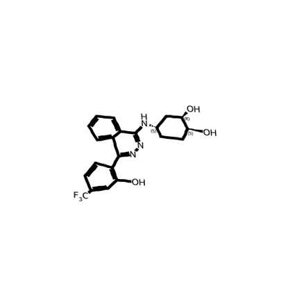 Oc1cc(C(F)(F)F)ccc1-c1nnc(N[C@H]2CC[C@H](O)[C@H](O)C2)c2ccccc12